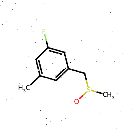 Cc1cc(F)cc(C[S+](C)[O-])c1